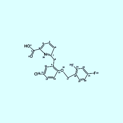 O=C(O)c1cccc(Cc2cc(Cl)ccc2OCc2ccc(F)cc2F)n1